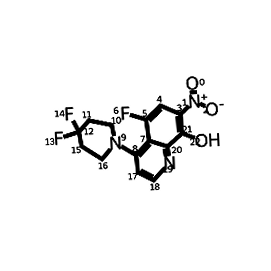 O=[N+]([O-])c1cc(F)c2c(N3CCC(F)(F)CC3)ccnc2c1O